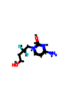 Nc1ccn(CC(F)(F)CCO)c(=O)n1